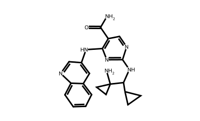 NC(=O)c1cnc(NC(C2CC2)C2(N)CC2)nc1Nc1cnc2ccccc2c1